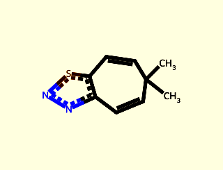 CC1(C)C=Cc2nnsc2C=C1